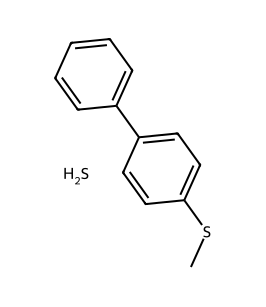 CSc1ccc(-c2ccccc2)cc1.S